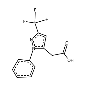 O=C(O)Cc1cc(C(F)(F)F)nn1-c1ccccc1